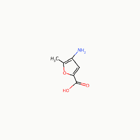 Cc1oc(C(=O)O)cc1N